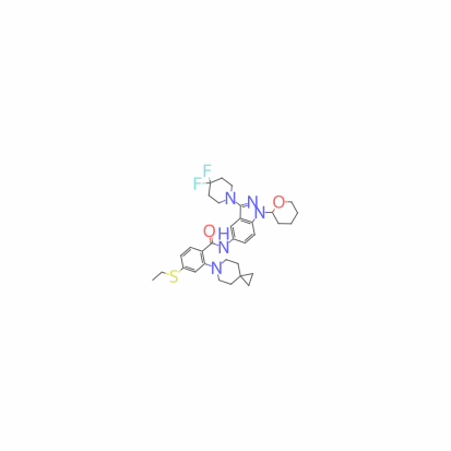 CCSc1ccc(C(=O)Nc2ccc3c(c2)c(N2CCC(F)(F)CC2)nn3C2CCCCO2)c(N2CCC3(CC2)CC3)c1